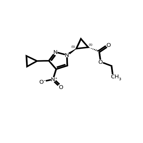 CCOC(=O)[C@H]1C[C@@H]1n1cc([N+](=O)[O-])c(C2CC2)n1